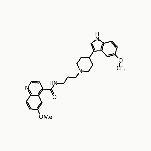 COc1ccc2nccc(C(=O)NCCCN3CCC(c4c[nH]c5ccc(OC(F)(F)F)cc45)CC3)c2c1